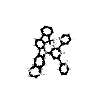 CC1(C)c2ccccc2-c2ccc3c4cc5nccnc5cc4n(-c4cc(-c5ccccn5)nc(-c5ccccn5)c4)c3c21